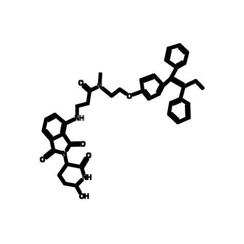 CC/C(=C(\c1ccccc1)c1ccc(OCCN(C)C(=O)CCNc2cccc3c2C(=O)N(C2CCC(O)NC2=O)C3=O)cc1)c1ccccc1